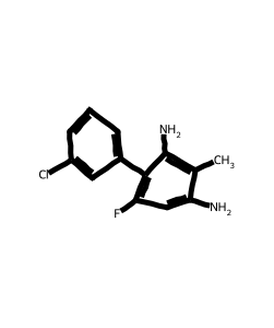 Cc1c(N)cc(F)c(-c2cccc(Cl)c2)c1N